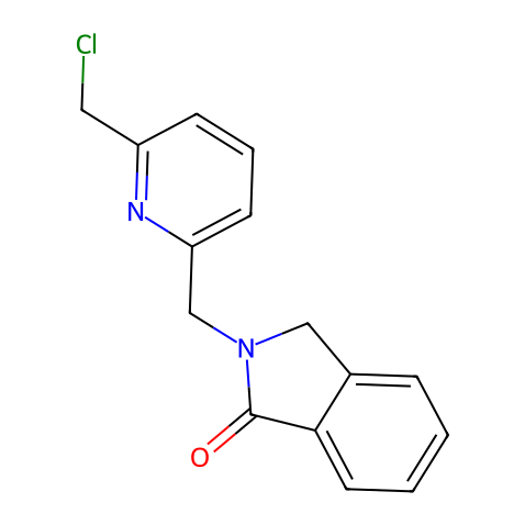 O=C1c2ccccc2CN1Cc1cccc(CCl)n1